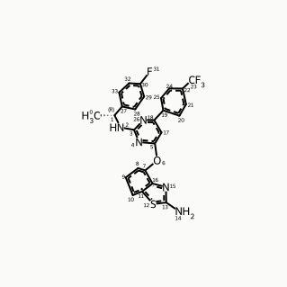 C[C@@H](Nc1nc(Oc2cccc3sc(N)nc23)cc(-c2ccc(C(F)(F)F)cc2)n1)c1ccc(F)cc1